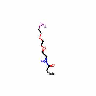 CNCC(=O)NCCOCCOCCP